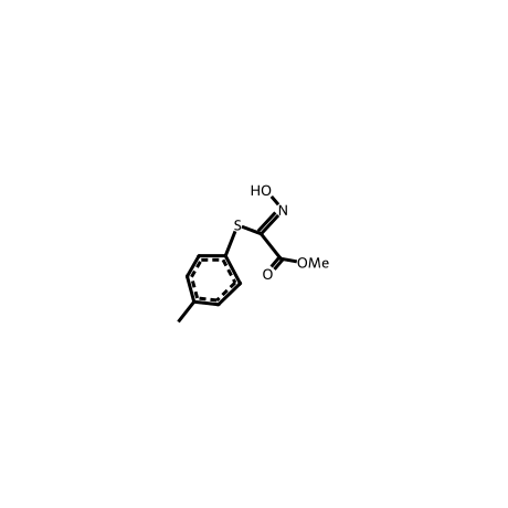 COC(=O)/C(=N/O)Sc1ccc(C)cc1